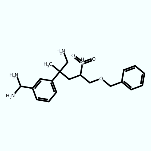 CC([CH]N)(CC(COCc1ccccc1)[SH](=O)=O)c1cccc(C(N)N)c1